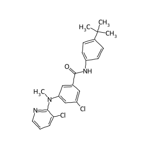 CN(c1cc(Cl)cc(C(=O)Nc2ccc(C(C)(C)C)cc2)c1)c1ncccc1Cl